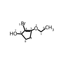 CCOC1=C(Br)C(O)CC1